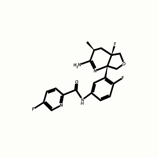 C[C@H]1C[C@]2(F)COC[C@]2(c2cc(NC(=O)c3ccc(F)cn3)ccc2F)N=C1N